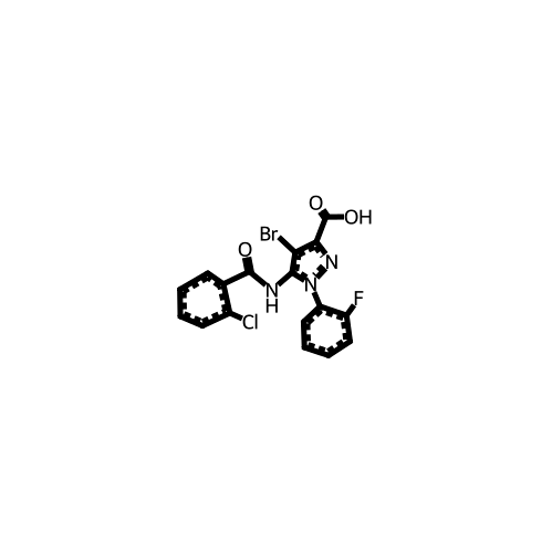 O=C(Nc1c(Br)c(C(=O)O)nn1-c1ccccc1F)c1ccccc1Cl